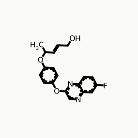 CC(C=CCO)Oc1ccc(Oc2cnc3cc(F)ccc3n2)cc1